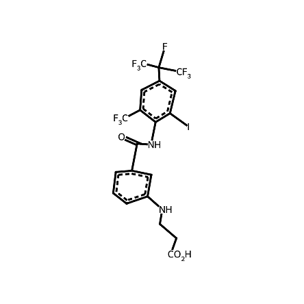 O=C(O)CCNc1cccc(C(=O)Nc2c(I)cc(C(F)(C(F)(F)F)C(F)(F)F)cc2C(F)(F)F)c1